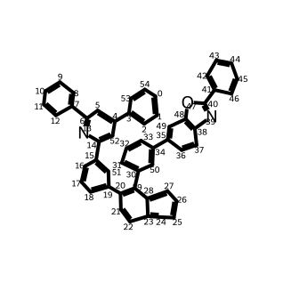 c1ccc(-c2cc(-c3ccccc3)nc(-c3cccc(-c4ccc5ccccc5c4-c4cccc(-c5ccc6nc(-c7ccccc7)oc6c5)c4)c3)c2)cc1